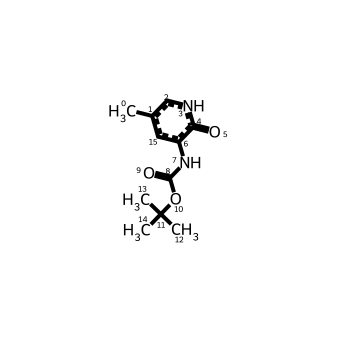 Cc1c[nH]c(=O)c(NC(=O)OC(C)(C)C)c1